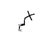 CC(=O)/N=C/CC(C)(C)C